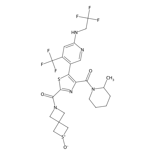 CC1CCCCN1C(=O)c1nc(C(=O)N2CC3(C2)C[S+]([O-])C3)sc1-c1cnc(NCC(F)(F)F)cc1C(F)(F)F